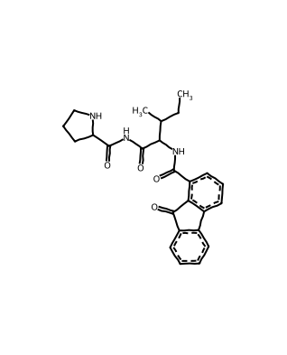 CCC(C)C(NC(=O)c1cccc2c1C(=O)c1ccccc1-2)C(=O)NC(=O)C1CCCN1